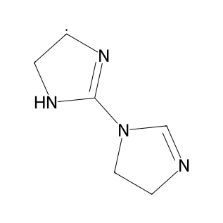 [CH]1CNC(N2C=NCC2)=N1